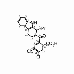 CC(C)C1c2[nH]c3ccccc3c2CCN1C(=O)c1cc(Cl)c(Cl)cc1C(=O)O